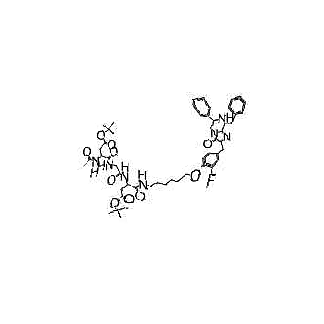 CC(=O)NC(CC(=O)OC(C)(C)C)C(=O)NCC(=O)NC(CC(=O)OC(C)(C)C)C(=O)NCCCCCCOc1ccc(Cc2nc3c(Cc4ccccc4)[nH]c(-c4ccccc4)cn-3c2=O)cc1F